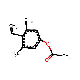 C=Cc1c(C)cc(OC(C)=O)cc1C